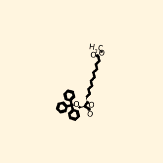 COC(=O)CCCCCCCCCC[C@@H]1OC(=O)[C@H]1COC(c1ccccc1)(c1ccccc1)c1ccccc1